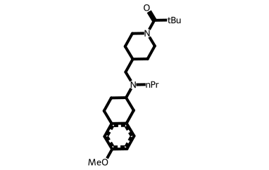 CCCN(CC1CCN(C(=O)C(C)(C)C)CC1)C1CCc2cc(OC)ccc2C1